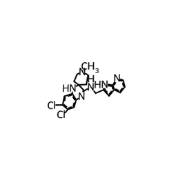 CN1CCC2(CC1)Nc1cc(Cl)c(Cl)cc1N=C2NCc1cc2cccnc2[nH]1